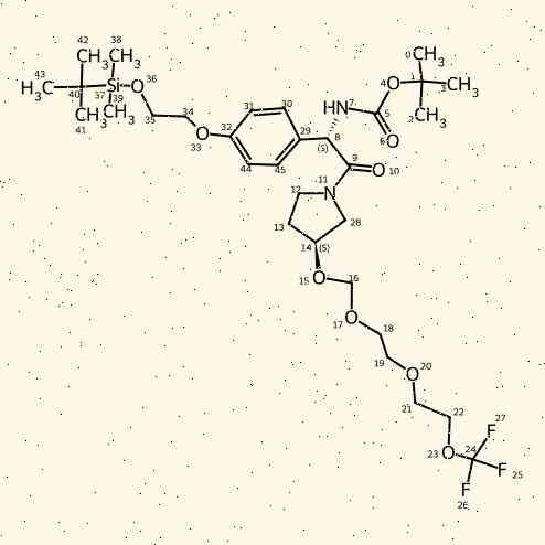 CC(C)(C)OC(=O)N[C@H](C(=O)N1CC[C@H](OCOCCOCCOC(F)(F)F)C1)c1ccc(OCCO[Si](C)(C)C(C)(C)C)cc1